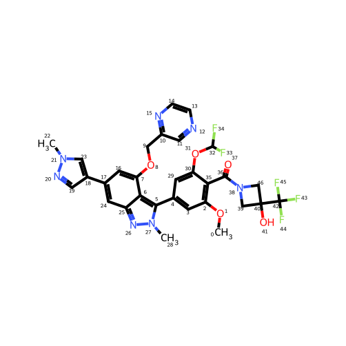 COc1cc(-c2c3c(OCc4cnccn4)cc(-c4cnn(C)c4)cc3nn2C)cc(OC(F)F)c1C(=O)N1CC(O)(C(F)(F)F)C1